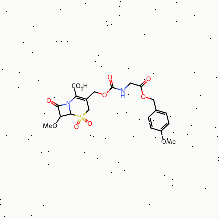 COc1ccc(COC(=O)CNC(=O)OCC2=C(C(=O)O)N3C(=O)C(OC)C3S(=O)(=O)C2)cc1